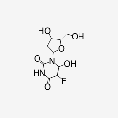 O=C1NC(=O)N([C@@H]2CC(O)[C@H](CO)O2)C(O)C1F